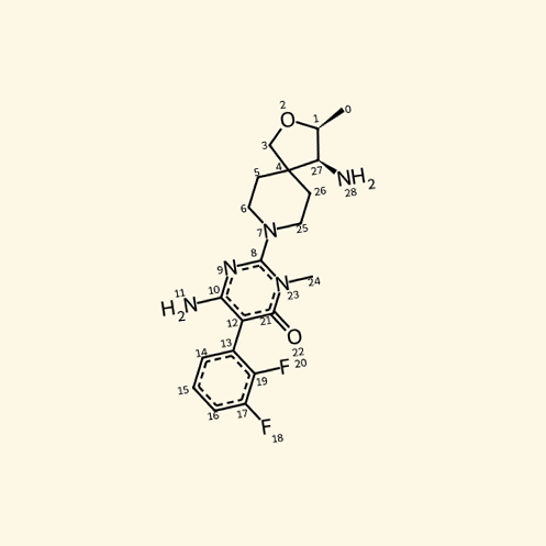 C[C@@H]1OCC2(CCN(c3nc(N)c(-c4cccc(F)c4F)c(=O)n3C)CC2)[C@@H]1N